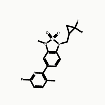 Cc1ccc(F)nc1-c1ccc2c(c1)N(C)S(=O)(=O)N2CC1CC1(F)F